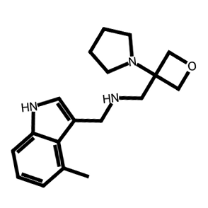 Cc1cccc2[nH]cc(CNCC3(N4CCCC4)COC3)c12